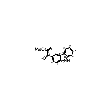 C=C(OC)C(=O)c1ccc2[nH]c3ccccc3c2c1